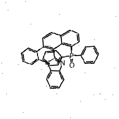 O=P(c1ccccc1)(c1ccccc1)c1cccc2ccc3c4ccccc4n4c5ccccc5nc4c3c12